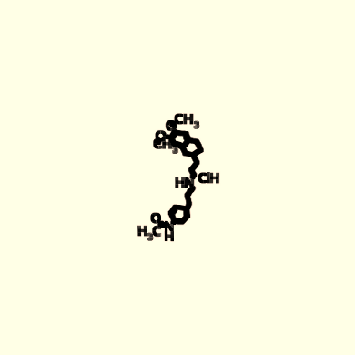 COc1cc2c(cc1OC)CC(CCCNCCCc1ccc(NC(C)=O)cc1)CC2.Cl